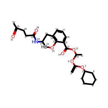 C=C(OC1CCCCC1)OC(C)OC(=O)c1cccc2c1OBC(NC(=O)CCC(C)=O)C2